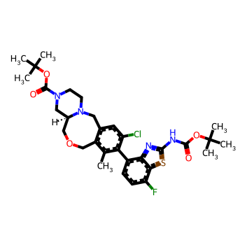 Cc1c2c(cc(Cl)c1-c1ccc(F)c3sc(NC(=O)OC(C)(C)C)nc13)CN1CCN(C(=O)OC(C)(C)C)C[C@@H]1COC2